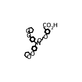 O=C(O)Cc1cccc(OCCON=C(c2ccc(OC3CCCCO3)cc2)c2ccc(OC3CCCCO3)cc2)c1